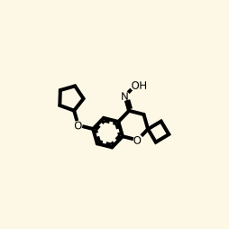 ON=C1CC2(CCC2)Oc2ccc(OC3CCCC3)cc21